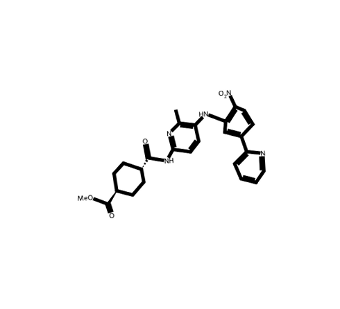 COC(=O)[C@H]1CC[C@H](C(=O)Nc2ccc(Nc3cc(-c4ccccn4)ccc3[N+](=O)[O-])c(C)n2)CC1